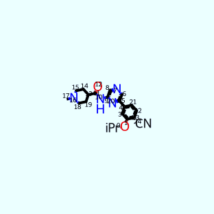 CC(C)Oc1cc(-c2cncc(NC(=O)C3CCN(C)CC3)n2)ccc1C#N